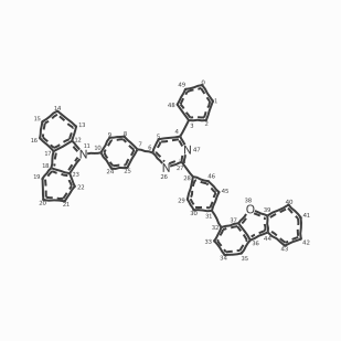 c1ccc(-c2cc(-c3ccc(-n4c5ccccc5c5ccccc54)cc3)nc(-c3ccc(-c4cccc5c4oc4ccccc45)cc3)n2)cc1